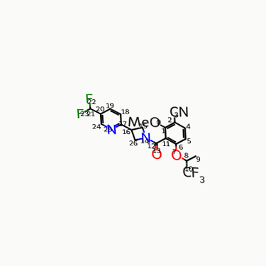 COc1c(C#N)ccc(OC(C)C(F)(F)F)c1C(=O)N1CC(c2ccc(C(F)F)cn2)C1